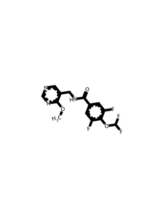 COc1ncncc1CNC(=O)c1cc(F)c(OC(F)F)c(F)c1